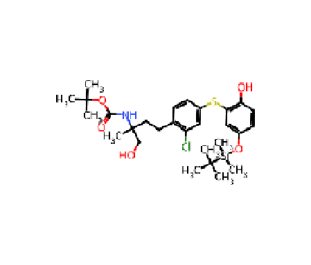 CC(CO)(CCc1ccc(Sc2cc(O[Si](C)(C)C(C)(C)C)ccc2O)cc1Cl)NC(=O)OC(C)(C)C